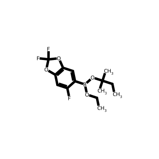 CCOB(OC(C)(C)CC)c1cc2c(cc1F)OC(F)(F)O2